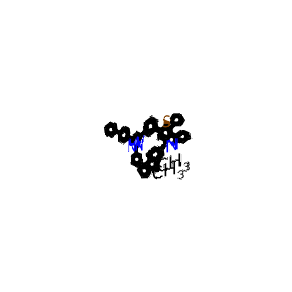 CC1(C)c2ccccc2-c2ccc(-c3nc4ccccc4c4c3cc(-c3cccc(-c5cc(-c6ccc(-c7ccccc7)cc6)nc(-c6ccccc6)n5)c3)c3sc5ccccc5c34)cc21